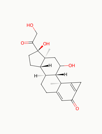 C[C@@]12C(=CC(=O)C3=C1C3)CC[C@@H]1[C@@H]2C(O)C[C@@]2(C)[C@H]1CC[C@]2(O)C(=O)CO